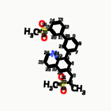 CC(Cc1cc(-c2cccc(-c3cc[c]c(S(C)(=O)=O)c3)c2)c2ncccc2c1)S(C)(=O)=O